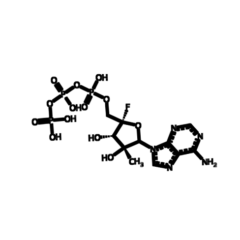 C[C@]1(O)C(n2cnc3c(N)ncnc32)O[C@](F)(COP(=O)(O)OP(=O)(O)OP(=O)(O)O)[C@H]1O